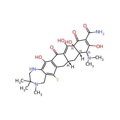 CN(C)[C@@H]1C(O)=C(C(N)=O)C(=O)[C@@]2(O)C(O)=C3C(=O)c4c(O)c5c(c(F)c4C[C@H]3C[C@@H]12)CN(C)C(C)(C)CN5